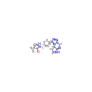 N#CC1(C(=O)NC[C@@H]2CC[C@@H](c3nnc4cnc5[nH]ccc5n34)C2)CC1